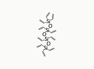 C=C[Si](C=C)(C=C)O[Si](C=C)(C=C)O[Si](C=C)(C=C)O[Si](C=C)(C=C)C=C